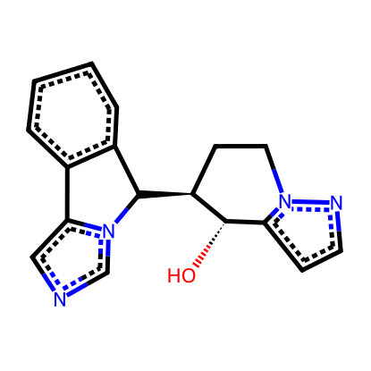 O[C@H]1c2ccnn2CC[C@@H]1C1c2ccccc2-c2cncn21